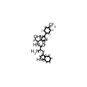 NC(Cc1c[nH]c2ccccc12)C(=O)NC(CO)c1nc(-c2ccc(C(F)(F)F)cc2)no1